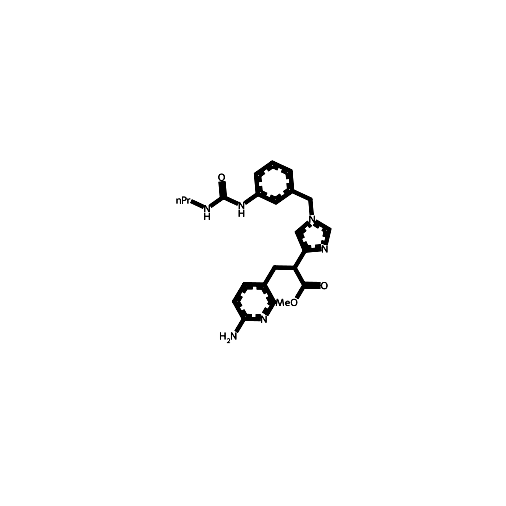 CCCNC(=O)Nc1cccc(Cn2cnc(C(Cc3ccc(N)nc3)C(=O)OC)c2)c1